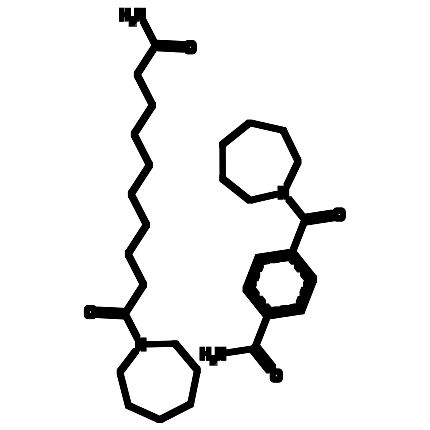 NC(=O)CCCCCCCCC(=O)N1CCCCCC1.NC(=O)c1ccc(C(=O)N2CCCCCC2)cc1